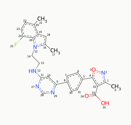 Cc1noc(-c2ccc(-c3cc(NCCn4c(C)cc5c(C)ccc(F)c54)ncn3)cc2)c1C(=O)O